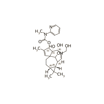 CC1=CC23CC[C@@H]4[C@H]([C@H](C=C(CO)[C@@H](O)[C@]2(O)[C@H]1OC(=O)N(C)c1ccccn1)C3O)C4(C)C